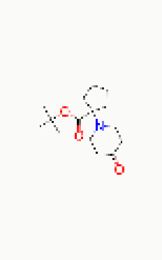 CC(C)(C)OC(=O)C1(N2CCC(=O)CC2)CCCC1